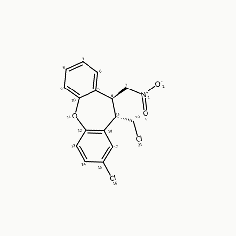 O=[N+]([O-])C[C@@H]1c2ccccc2Oc2ccc(Cl)cc2[C@H]1CCl